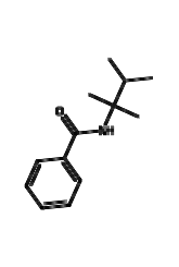 CC(C)C(C)(C)NC(=O)c1ccccc1